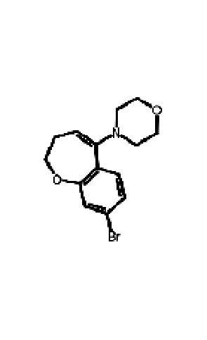 Brc1ccc2c(c1)OCCC=C2N1CCOCC1